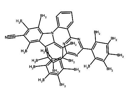 Bc1c(B)c(B)c(-c2nc(-c3ccccc3-n3c4c(B)c(B)c(B)c(B)c4c4c(B)c(C#N)c(B)c(B)c43)nc(-c3c(B)c(B)c(B)c(B)c3B)n2)c(B)c1B